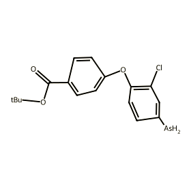 CC(C)(C)OC(=O)c1ccc(Oc2ccc([AsH2])cc2Cl)cc1